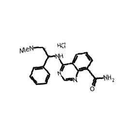 CNCC(Nc1ncnc2c(C(N)=O)cccc12)c1ccccc1.Cl